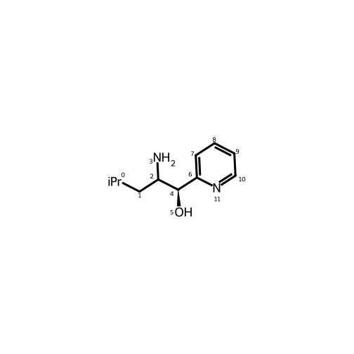 CC(C)CC(N)[C@H](O)c1ccccn1